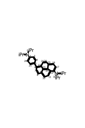 CC(C)N(c1ccc(-c2ccc3ccc4c(N(C(C)C)C(C)C)ccc5ccc2c3c54)cc1)C(C)C